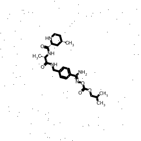 CC(C)COC(=O)O/N=C(\N)c1ccc(CNC(=O)[C@H](C)NC(=O)[C@H]2C[C@@H](C)CCN2)cc1